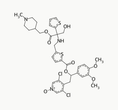 COc1ccc(C(Cc2c(Cl)c[n+]([O-])cc2Cl)OC(=O)c2ccc(CNC(CO)(C(=O)OCC3CCN(C)CC3)c3cccs3)s2)cc1OC